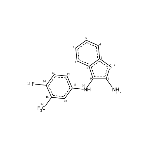 Nc1sc2ccccc2c1Nc1ccc(F)c(C(F)(F)F)c1